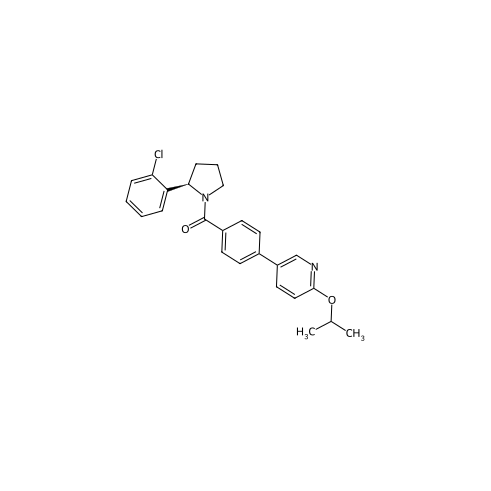 CC(C)Oc1ccc(-c2ccc(C(=O)N3CCC[C@@H]3c3ccccc3Cl)cc2)cn1